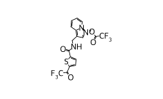 O=C(NCc1c[n+](OC(=O)C(F)(F)F)n2ccccc12)c1ccc(C(=O)C(F)(F)F)s1